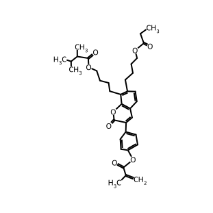 C=C(C)C(=O)Oc1ccc(-c2cc3ccc(CCCCOC(=O)CC)c(CCCCOC(=O)C(C)C(C)C)c3oc2=O)cc1